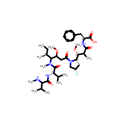 CC[C@H](C)C(C(CC(=O)N1C[C@@H](F)C[C@H]1[C@H](OC)C(C)C(=O)N[C@@H](Cc1ccccc1)C(=O)O)OC)N(C)C(=O)[C@@H](NC(=O)C(NC)C(C)C)C(C)C